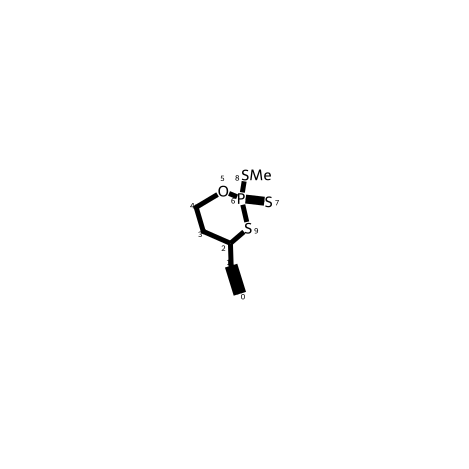 C#CC1CCOP(=S)(SC)S1